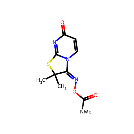 CNC(=O)ON=C1n2ccc(=O)nc2SC1(C)C